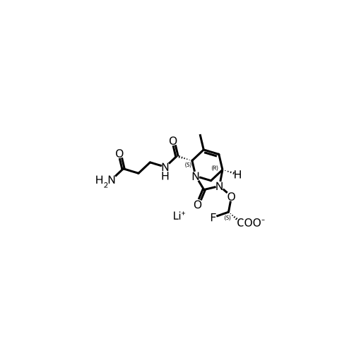 CC1=C[C@@H]2CN(C(=O)N2O[C@@H](F)C(=O)[O-])[C@@H]1C(=O)NCCC(N)=O.[Li+]